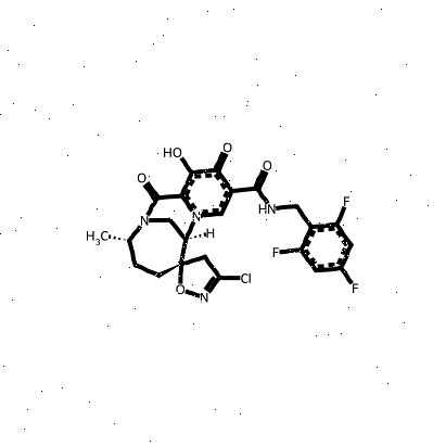 C[C@H]1CC[C@]2(CC(Cl)=NO2)[C@H]2CN1C(=O)c1c(O)c(=O)c(C(=O)NCc3c(F)cc(F)cc3F)cn12